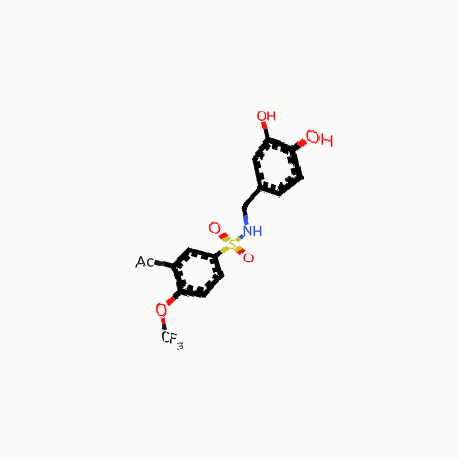 CC(=O)c1cc(S(=O)(=O)NCc2ccc(O)c(O)c2)ccc1OC(F)(F)F